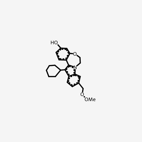 COOCc1ccc2c(C3CCCCC3)c3n(c2c1)CCOc1cc(O)ccc1-3